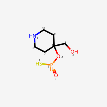 O=[PH](S)OC1(CO)CCNCC1